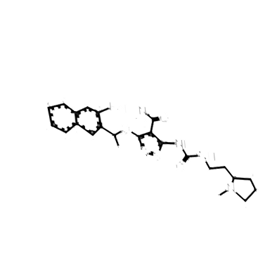 CN1CCCC1CCNC(=O)Nc1snc(OC(F)c2cc3ccccc3cc2F)c1C(N)=O